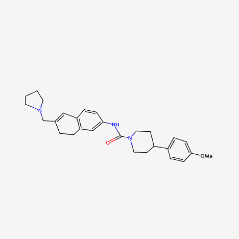 COc1ccc(C2CCN(C(=O)Nc3ccc4c(c3)CCC(CN3CCCC3)=C4)CC2)cc1